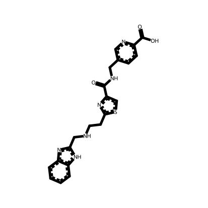 O=C(O)c1ccc(CNC(=O)c2csc(CCNCc3nc4ccccc4[nH]3)n2)cn1